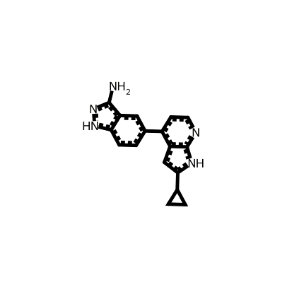 Nc1n[nH]c2ccc(-c3ccnc4[nH]c(C5CC5)cc34)cc12